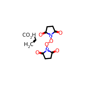 C=CC(=O)O.O=C1CCC(=O)N1OON1C(=O)CCC1=O